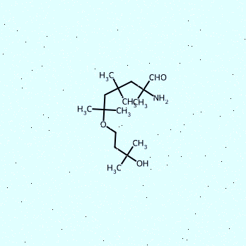 CC(C)(O)CCOC(C)(C)CC(C)(C)CC(C)(N)C=O